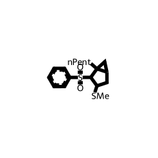 CCCCCC12CC1CC(SC)C2S(=O)(=O)c1ccccc1